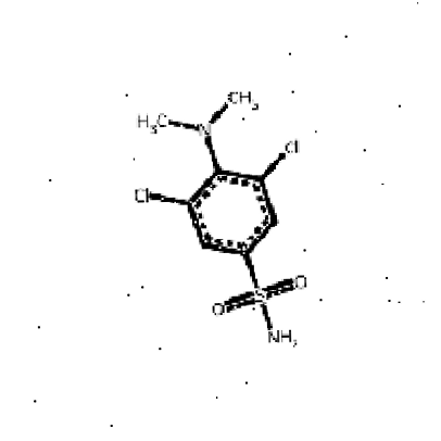 CN(C)c1c(Cl)cc(S(N)(=O)=O)cc1Cl